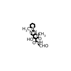 CC1CCCCN1c1ncc2c(O)c(C(=O)NCC=O)c(=O)n(C)c2n1